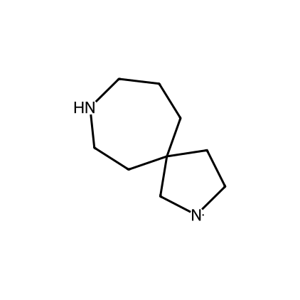 C1CNCCC2(C1)CC[N]C2